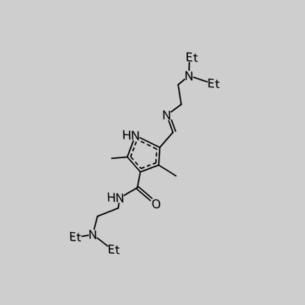 CCN(CC)CC/N=C/c1[nH]c(C)c(C(=O)NCCN(CC)CC)c1C